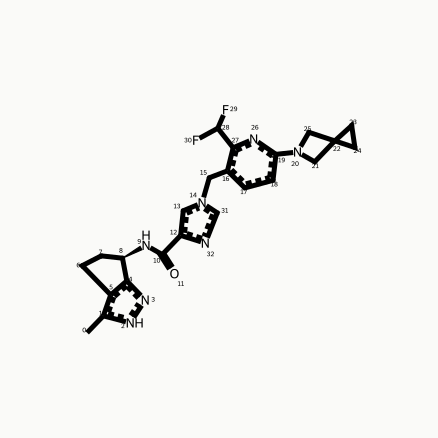 Cc1[nH]nc2c1CC[C@H]2NC(=O)c1cn(Cc2ccc(N3CC4(CC4)C3)nc2C(F)F)cn1